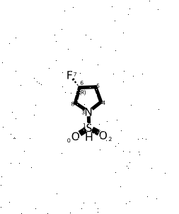 O=[SH](=O)N1CC[C@@H](F)C1